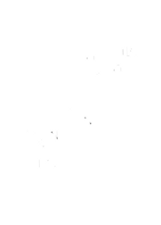 Cn1cc(C(=O)OC(C)(C)C)cc1/C=N/[S+]([O-])C(C)(C)C